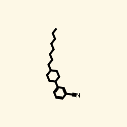 CCCCCCCCC1CCC(c2cccc(C#N)c2)CC1